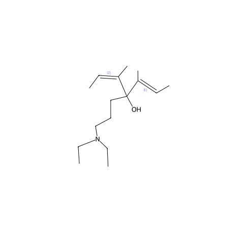 C/C=C(/C)C(O)(CCCN(CC)CC)/C(C)=C/C